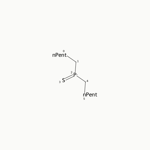 CCCCCC[P](=S)CCCCCC